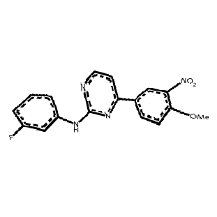 COc1ccc(-c2ccnc(Nc3cccc(F)c3)n2)cc1[N+](=O)[O-]